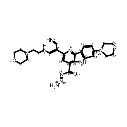 N=C/C(=C\NCCN1CCOCC1)c1cc(C(=O)N=NN)c2[nH]c3cc(N4CCOCC4)ccc3c2n1